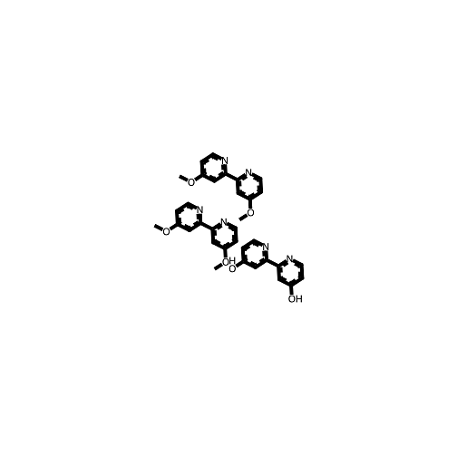 COc1ccnc(-c2cc(OC)ccn2)c1.COc1ccnc(-c2cc(OC)ccn2)c1.Oc1ccnc(-c2cc(O)ccn2)c1